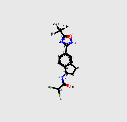 [2H]C([2H])([2H])c1nc(-c2ccc3c(c2)CC[C@H]3NC(=O)C(F)F)no1